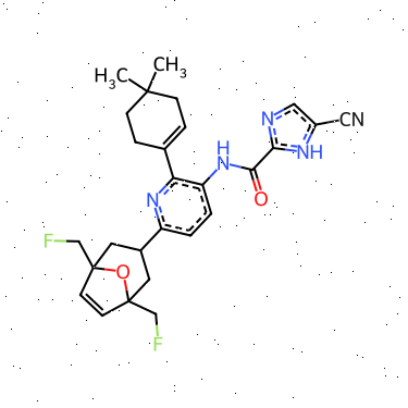 CC1(C)CC=C(c2nc(C3CC4(CF)C=CC(CF)(C3)O4)ccc2NC(=O)c2ncc(C#N)[nH]2)CC1